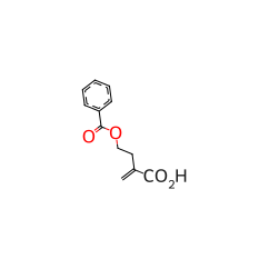 C=C(CCOC(=O)c1ccccc1)C(=O)O